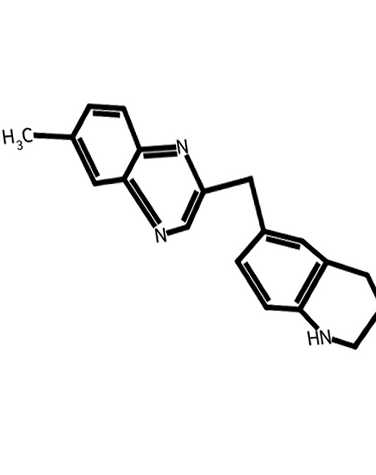 Cc1ccc2nc(Cc3ccc4c(c3)CCCN4)cnc2c1